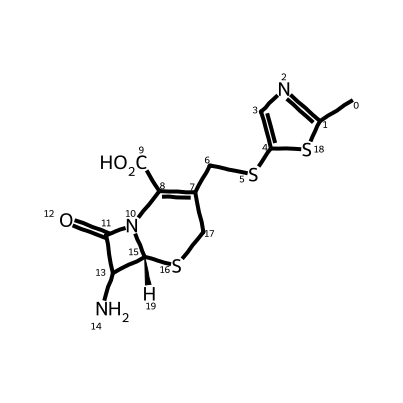 Cc1ncc(SCC2=C(C(=O)O)N3C(=O)C(N)[C@H]3SC2)s1